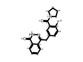 O=C(c1cc(Cc2n[nH]c(=O)c3ccccc23)ccc1F)N1C[CH]CC1